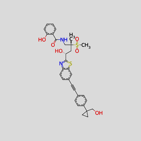 C[C@](CNC(=O)c1ccccc1O)(C[C@@H](O)c1nc2ccc(C#Cc3ccc(C4(CO)CC4)cc3)cc2s1)S(C)(=O)=O